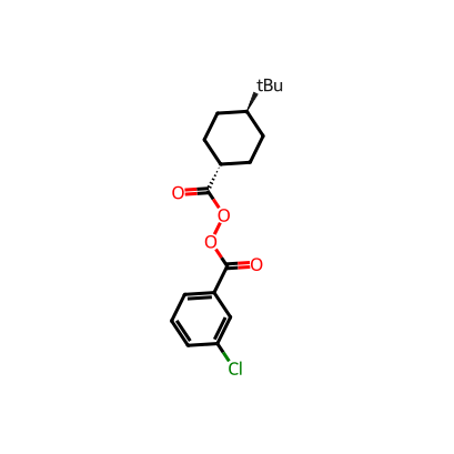 CC(C)(C)[C@H]1CC[C@H](C(=O)OOC(=O)c2cccc(Cl)c2)CC1